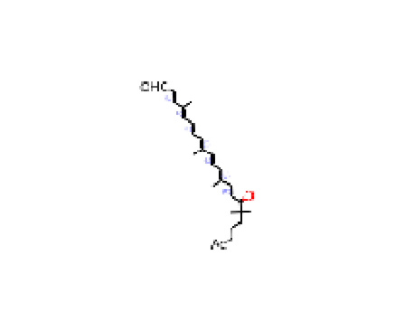 CC(=O)CCCC(C)(C)C(=O)/C=C/C(C)=C/C=C/C(C)=C/C=C/C=C(C)/C=C/C=O